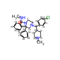 CNC(=O)N1CCN(C(c2ccc(Cl)cc2)C2CCN(C)CC2)CC1(c1ccccc1)c1ccccc1